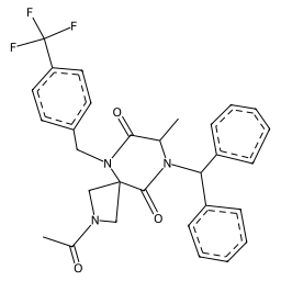 CC(=O)N1CC2(C1)C(=O)N(C(c1ccccc1)c1ccccc1)C(C)C(=O)N2Cc1ccc(C(F)(F)F)cc1